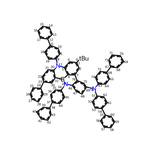 CC(C)(C)c1cc2c3c(c1)N(c1ccc(-c4ccccc4)cc1)c1ccc(-c4ccccc4)cc1B3N(c1ccc(-c3ccccc3)cc1)c1ccc(N(c3ccc(-c4ccccc4)cc3)c3ccc(-c4ccccc4)cc3)cc1-2